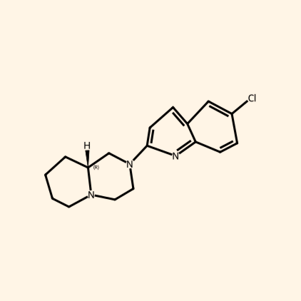 Clc1ccc2nc(N3CCN4CCCC[C@@H]4C3)ccc2c1